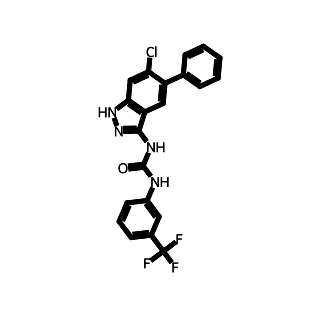 O=C(Nc1cccc(C(F)(F)F)c1)Nc1n[nH]c2cc(Cl)c(-c3ccccc3)cc12